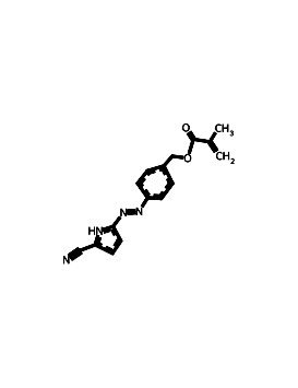 C=C(C)C(=O)OCc1ccc(/N=N/c2ccc(C#N)[nH]2)cc1